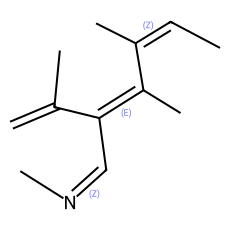 C=C(C)C(/C=N\C)=C(C)\C(C)=C/C